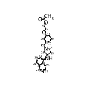 CC(=O)OCCOc1cccc(CN2CC[C@@H](Nc3cccc4cnccc34)C2)c1